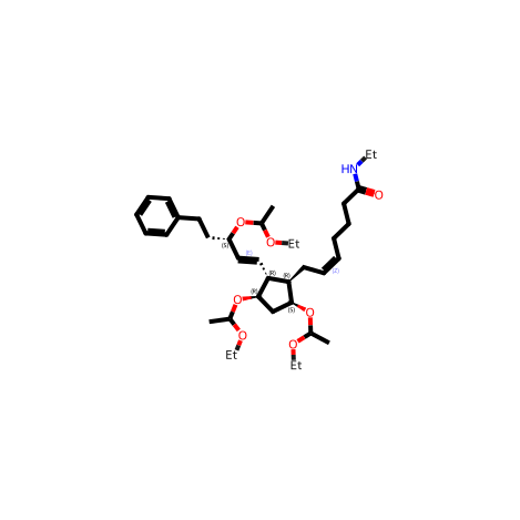 CCNC(=O)CCC/C=C\C[C@@H]1[C@@H](/C=C/[C@H](CCc2ccccc2)OC(C)OCC)[C@H](OC(C)OCC)C[C@@H]1OC(C)OCC